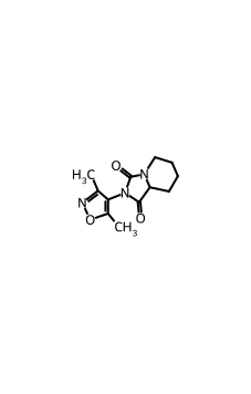 Cc1noc(C)c1N1C(=O)C2CCCCN2C1=O